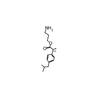 CC(C)Cc1ccc([C@H](C)C(=O)OCCCN)cc1